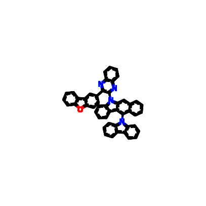 c1ccc2c(-n3c4ccccc4c4ccccc43)c3c4ccccc4n(-c4nc5ccccc5nc4-c4ccc5oc6ccccc6c5c4)c3cc2c1